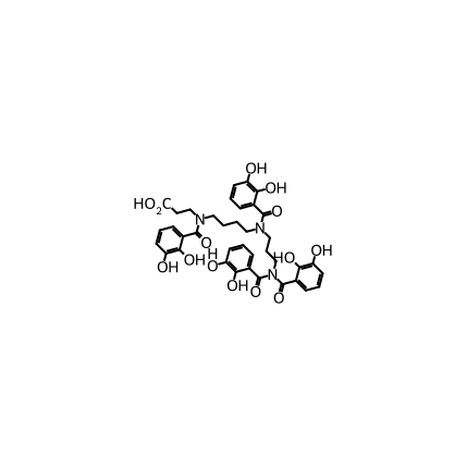 O=C(O)CCN(CCCCN(CCCN(C(=O)c1cccc(O)c1O)C(=O)c1cccc(O)c1O)C(=O)c1cccc(O)c1O)C(=O)c1cccc(O)c1O